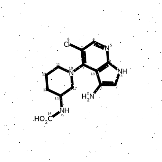 Nc1c[nH]c2ncc(Cl)c(N3CCCC(NC(=O)O)C3)c12